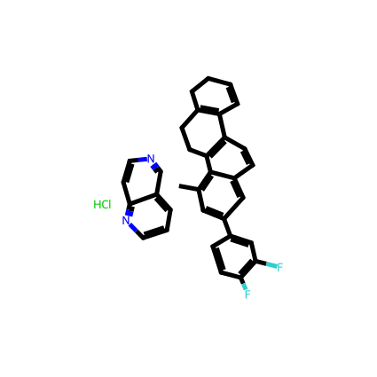 Cc1cc(-c2ccc(F)c(F)c2)cc2ccc3c(c12)CCC1=C3C=CCC1.Cl.c1cnc2ccncc2c1